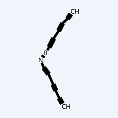 C#CC#CC#C/B=N/C#CC#CC#C